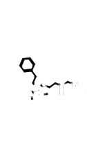 CO[Si](CCc1ccccc1)(OC)OCCNCN